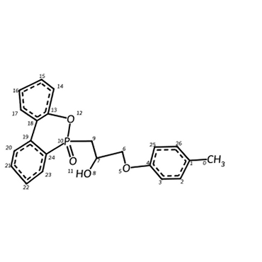 Cc1ccc(OCC(O)CP2(=O)Oc3ccccc3-c3ccccc32)cc1